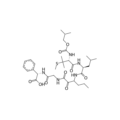 CCCC(NC(=O)[C@H](CC(C)C)NC(=O)[C@@H](NC(=O)OCC(C)C)C(C)(C)SC)C(=O)C(=O)NCC(=O)N[C@H](C(=O)O)c1ccccc1